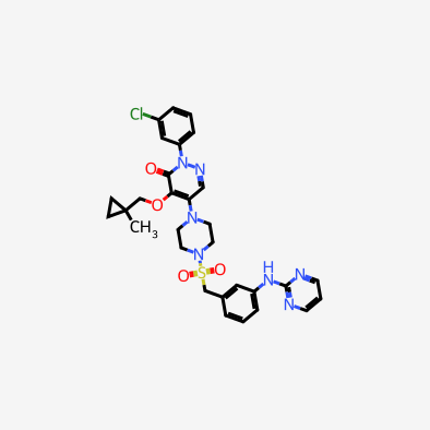 CC1(COc2c(N3CCN(S(=O)(=O)Cc4cccc(Nc5ncccn5)c4)CC3)cnn(-c3cccc(Cl)c3)c2=O)CC1